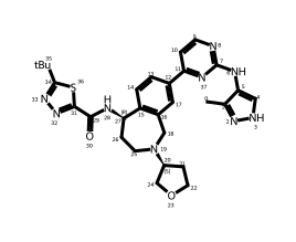 Cc1n[nH]cc1Nc1nccc(-c2ccc3c(c2)CN([C@H]2CCOC2)CC[C@H]3NC(=O)c2nnc(C(C)(C)C)s2)n1